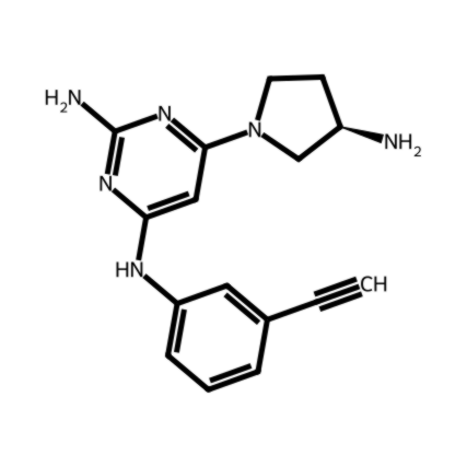 C#Cc1cccc(Nc2cc(N3CC[C@@H](N)C3)nc(N)n2)c1